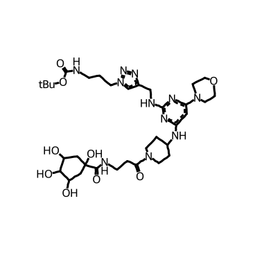 CC(C)(C)OC(=O)NCCCn1cc(CNc2nc(NC3CCN(C(=O)CCNC(=O)C4(O)CC(O)C(O)C(O)C4)CC3)cc(N3CCOCC3)n2)nn1